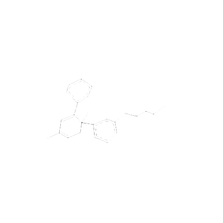 CCCCCc1cccc(C2(F)CC=C(F)C=C2c2ccccc2)c1